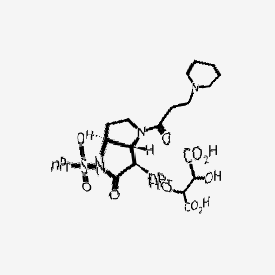 CCC[C@H]1C(=O)N(S(=O)(=O)CCC)[C@H]2CCN(C(=O)CCN3CCCCC3)[C@H]12.O=C(O)C(O)C(O)C(=O)O